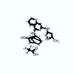 Cc1cc(Nc2cc3ncccc3c(NC34CC5CC(CC(O)(C5)C3)C4)n2)n[nH]1.O=C(O)C(F)(F)F